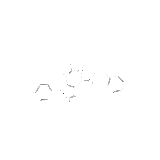 ClC1=Nc2c(cnn2-c2ccccc2)C2=N[C@@H](Cc3ccccc3)CN12